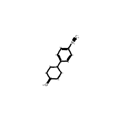 [C-]#[N+]c1ccc(C2CCC(=O)CC2)cc1